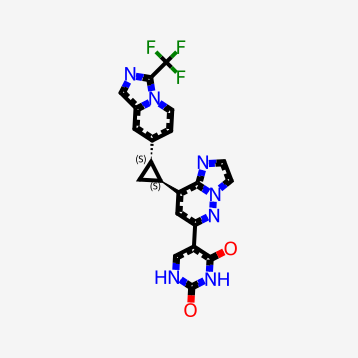 O=c1[nH]cc(-c2cc([C@H]3C[C@@H]3c3ccn4c(C(F)(F)F)ncc4c3)c3nccn3n2)c(=O)[nH]1